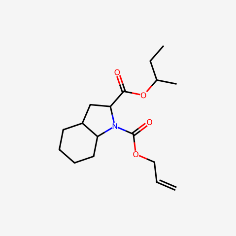 C=CCOC(=O)N1C(C(=O)OC(C)CC)CC2CCCCC21